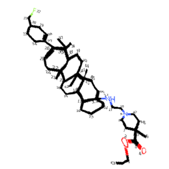 CCOC(=O)C1(C)CCN(CCNC23CCCC2C2CCC4C5(C)CC=C(C6=CCC(CF)CC6)C(C)(C)C5CCC4(C)[C@]2(C)CC3)CC1